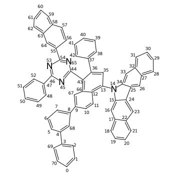 c1ccc(-c2cccc(-c3ccc4c(-n5c6cc7ccccc7cc6c6cc7ccccc7cc65)cc(-c5ccccc5)c(-c5nc(-c6ccccc6)nc(-c6ccc7ccccc7c6)n5)c4c3)c2)cc1